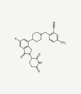 Cc1ccc(CN2CCC(c3cc(F)cc4c3CN(C3CCC(=O)NC3=O)C4=O)CC2)c(C#N)c1